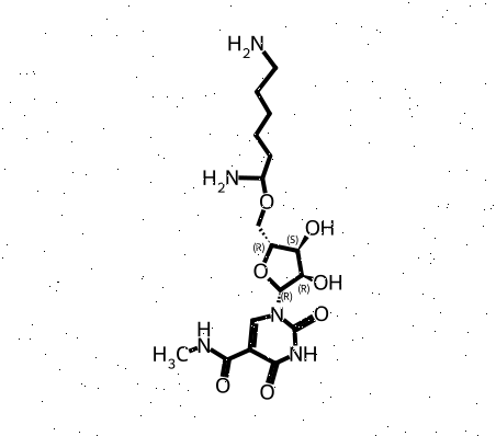 CNC(=O)c1cn([C@@H]2O[C@H](COC(N)CCCCCN)[C@@H](O)[C@H]2O)c(=O)[nH]c1=O